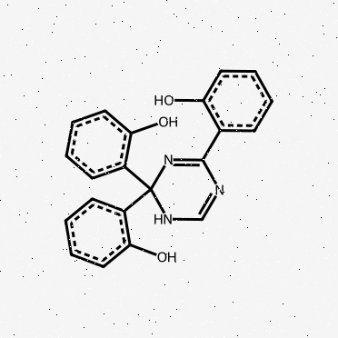 Oc1ccccc1C1=NC(c2ccccc2O)(c2ccccc2O)NC=N1